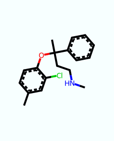 CNCCC(C)(Oc1ccc(C)cc1Cl)c1ccccc1